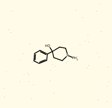 OC1(c2ccccc2)CCN(P)CC1